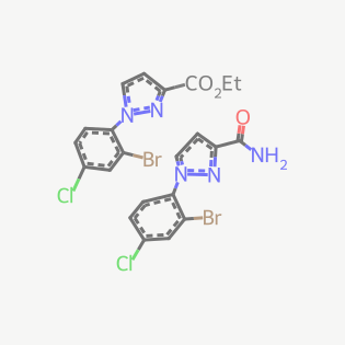 CCOC(=O)c1ccn(-c2ccc(Cl)cc2Br)n1.NC(=O)c1ccn(-c2ccc(Cl)cc2Br)n1